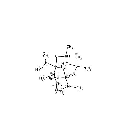 CNCP(=NP(=NC(C)(C)C)(N(C)C)N(C)C)(N(C)C)N(C)C